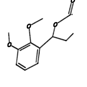 CCC(O[C]=O)c1cccc(OC)c1OC